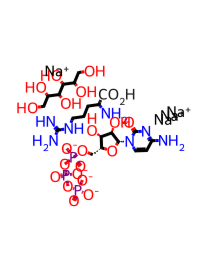 N=C(N)NCCCC(N)C(=O)O.Nc1ccn([C@@H]2O[C@H](COP(=O)([O-])OP(=O)([O-])OP(=O)([O-])[O-])[C@@H](O)[C@H]2O)c(=O)n1.OCC(O)C(O)C(O)C(O)CO.[Na+].[Na+].[Na+].[Na+]